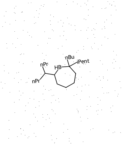 CCCCC1(C(C)CCC)BC(C(CCC)CCC)CCCC1